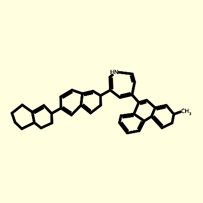 CC1C=c2cc(C3=CC(C4C=c5ccc(C6C=C7CCCCC7CC6)cc5=CC4)=CNC=C3)c3ccccc3c2=CC1